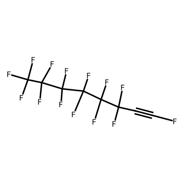 FC#CC(F)(F)C(F)(F)C(F)(F)C(F)(F)C(F)(F)C(F)(F)F